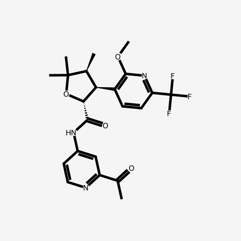 COc1nc(C(F)(F)F)ccc1[C@H]1[C@H](C(=O)Nc2ccnc(C(C)=O)c2)OC(C)(C)[C@H]1C